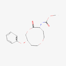 C[C@@H]1OC(=O)[C@@H](NC(=O)OC(C)(C)C)CCOC[C@H](O)[C@H]1Oc1ccccc1